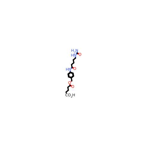 NC(=O)NCCCCC(=O)Nc1ccc(COC(=O)CCCC(=O)O)cc1